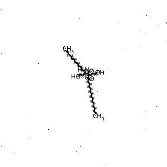 CCCCCCCCCCCCCCCC(=O)OC(CCCO)(C(N)=O)C(CCO)CCCCCCCCCCCCC